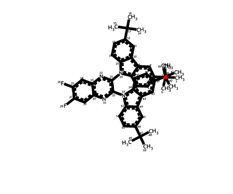 CC(C)(C)c1ccc2c(c1)c1cc(C(C)(C)C)ccc1n2-c1nc2cc(F)c(F)cc2nc1-n1c2ccc(C(C)(C)C)cc2c2cc(C(C)(C)C)ccc21